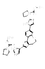 CC(C)(C)OC(=O)N1CCC[C@H]1c1ncc(-c2ccc3c(c2)OCCc2cc(-c4cnc([C@@H]5CCCN5C(=O)OC(C)(C)C)[nH]4)sc2-3)[nH]1